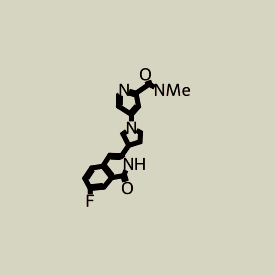 CNC(=O)c1cc(N2CCC(c3cc4ccc(F)cc4c(=O)[nH]3)C2)ccn1